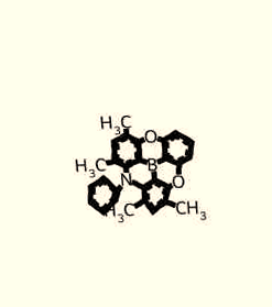 Cc1cc(C)c2c3c1Oc1cccc4c1B3c1c(c(C)cc(C)c1N2c1ccccc1)O4